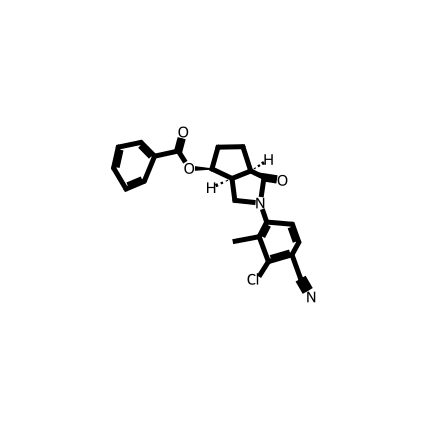 Cc1c(N2C[C@H]3[C@@H](OC(=O)c4ccccc4)CC[C@H]3C2=O)ccc(C#N)c1Cl